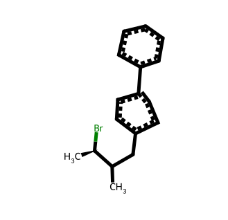 CC(Cc1ccc(-c2ccccc2)cc1)[C@@H](C)Br